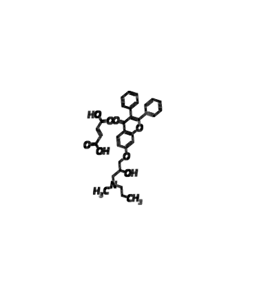 CCCN(C)CC(O)COc1ccc2c(=O)c(-c3ccccc3)c(-c3ccccc3)oc2c1.O=C(O)C=CC(=O)O